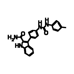 Cc1ccc(NC(=O)Nc2ccc(-c3c(C(N)=O)[nH]c4ccccc34)cc2)cc1